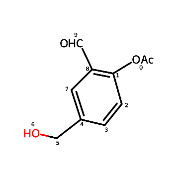 CC(=O)Oc1ccc(CO)cc1C=O